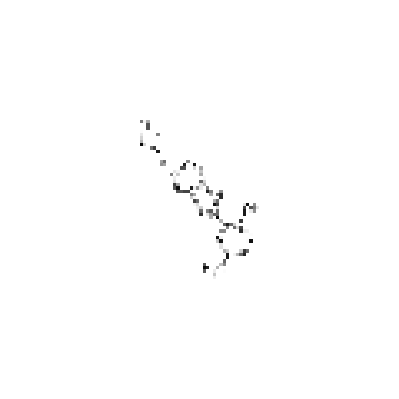 C=CCSc1ccc2nn(-c3cc(C)ccc3O)nc2c1